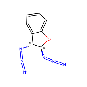 [N-]=[N+]=N[C@@H]1Oc2ccccc2[C@H]1N=[N+]=[N-]